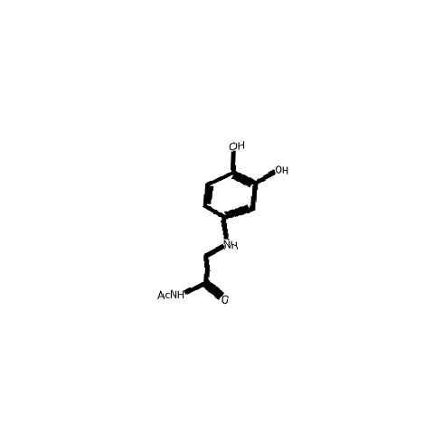 CC(=O)NC(=O)CNc1ccc(O)c(O)c1